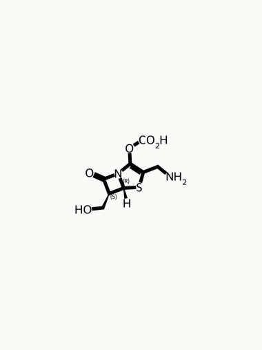 NCC1=C(OC(=O)O)N2C(=O)[C@H](CO)[C@H]2S1